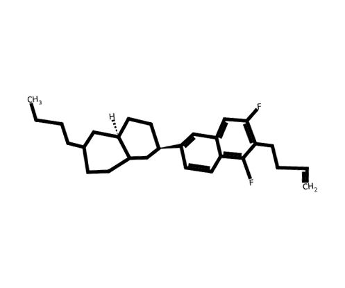 C=CCCc1c(F)cc2cc([C@@H]3CC[C@@H]4CC(CCCC)CCC4C3)ccc2c1F